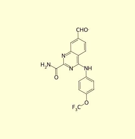 NC(=O)c1nc(Nc2ccc(OC(F)(F)F)cc2)c2ccc([C]=O)cc2n1